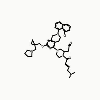 CN(C)CC=CC(=O)N1CCN(c2nc(OCC3(CN4CCCC4)CC3)nc3c2CCN(c2cccc4cccc(Cl)c24)C3)CC1CC#N